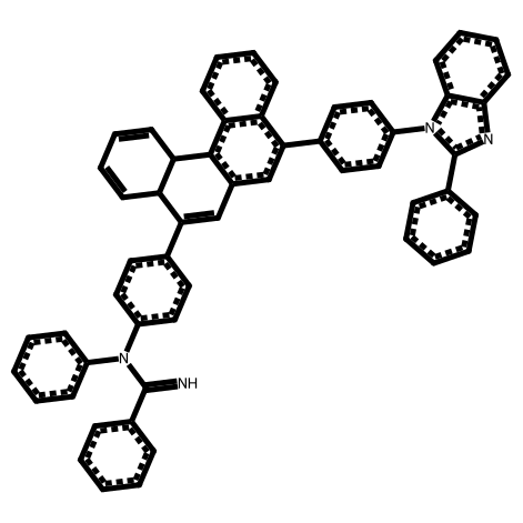 N=C(c1ccccc1)N(c1ccccc1)c1ccc(C2=Cc3cc(-c4ccc(-n5c(-c6ccccc6)nc6ccccc65)cc4)c4ccccc4c3C3C=CC=CC23)cc1